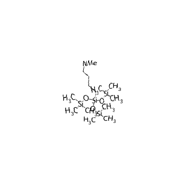 CNCCCC[Si](O[Si](C)(C)C)(O[Si](C)(C)C)O[Si](C)(C)C